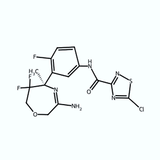 C[C@]1(c2cc(NC(=O)c3nsc(Cl)n3)ccc2F)N=C(N)COCC1(F)F